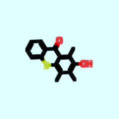 Cc1c(O)c(C)c2c(=O)c3ccccc3sc2c1C